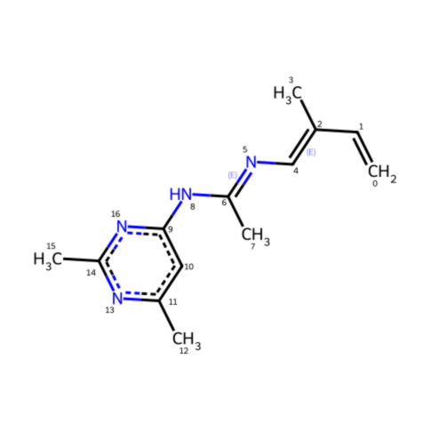 C=C/C(C)=C/N=C(\C)Nc1cc(C)nc(C)n1